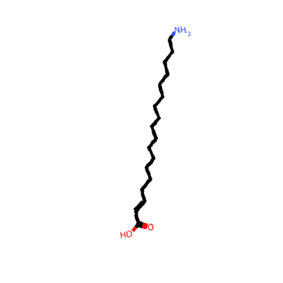 NCCCCCCCCCCCCCCCC=CC(=O)O